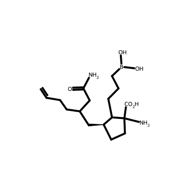 C=CCCC(CC(N)=O)C[C@@H]1CCC(N)(C(=O)O)C1CCCB(O)O